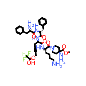 CC#CCC(NC(=O)[C@@H](Cc1ccccc1)NC(=O)[C@H](N)Cc1ccccc1)C(=O)N[C@H](CCCCN)C(=O)N1CCC(N)(C(=O)OC)CC1.O=C(O)C(F)(F)F